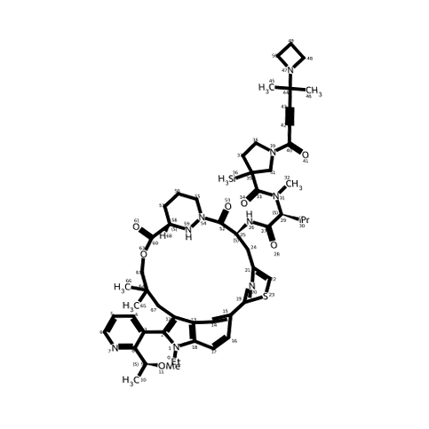 CCn1c(-c2cccnc2[C@H](C)OC)c2c3cc(ccc31)-c1nc(cs1)C[C@H](NC(=O)[C@H](C(C)C)N(C)C(=O)C1([SiH3])CCN(C(=O)C#CC(C)(C)N3CCC3)C1)C(=O)N1CCC[C@H](N1)C(=O)OCC(C)(C)C2